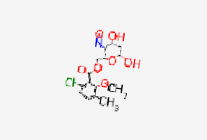 COc1c(C)ccc(Cl)c1C(=O)OCC1OC(O)CC(O)C1N=O